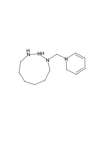 C1=CCN(CN2CCCCCCNN2)C=C1